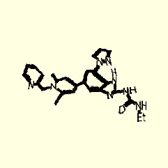 C=C1C=C(c2cc(-n3cccn3)c3[nH]c(NC(=O)NCC)nc3c2)C=C(C)N1Cc1ccccn1